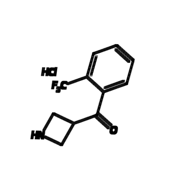 Cl.O=C(c1ccccc1C(F)(F)F)C1CNC1